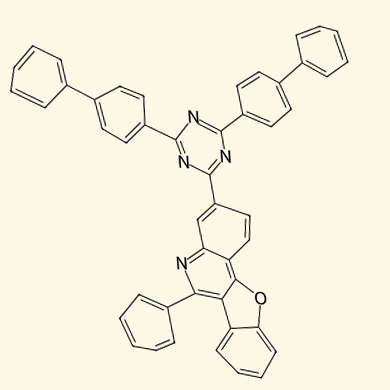 c1ccc(-c2ccc(-c3nc(-c4ccc(-c5ccccc5)cc4)nc(-c4ccc5c(c4)nc(-c4ccccc4)c4c6ccccc6oc54)n3)cc2)cc1